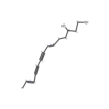 C/C=C/C#CC#C/C=C/CCC(O)CCO